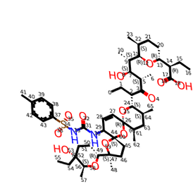 CCC(C(=O)[C@@H](C)[C@@H](O)[C@H](C)[C@@H]1O[C@@H]([C@@H](CC)C(=O)O)CC[C@@H]1C)[C@H]1O[C@]2(C=CC(NC(=O)NS(=O)(=O)c3ccc(C)cc3)[C@]3(CC[C@@](C)([C@H]4CC[C@](O)(CC)[C@H](C)O4)O3)O2)[C@H](C)C[C@@H]1C